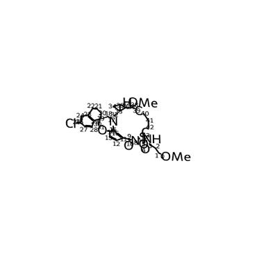 COCCC(=O)N[S@@]1(=O)=NC(=O)c2ccc3c(c2)N(C[C@@]2(CCCc4cc(Cl)ccc42)CO3)C[C@@]23CC2[C@H]3[C@@H](OC)CCCCC1